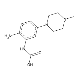 CN1CCN(c2ccc(N)c(NC(=O)O)c2)CC1